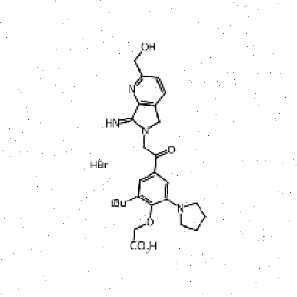 Br.CC(C)(C)c1cc(C(=O)CN2Cc3ccc(CO)nc3C2=N)cc(N2CCCC2)c1OCC(=O)O